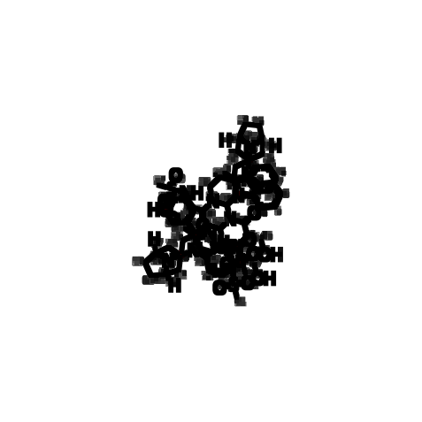 Cc1nc2ccccc2n1C1C[C@H]2CC[C@@H](C1)N2CCC1(c2ccccc2)CCN(C(=O)[C@H](CO)NS(C)(=O)=O)C(N(C(=O)[C@H](CO)NS(C)(=O)=O)C2CC(CCN3[C@@H]4CC[C@H]3CC(n3c(C)nc5ccccc53)C4)(c3ccccc3)CCN2C(=O)[C@H](CO)NS(C)(=O)=O)C1